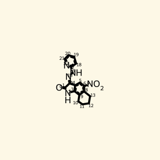 O=C1Nc2c(cc([N+](=O)[O-])c3c2CCCC3)C1=NNc1ccccn1